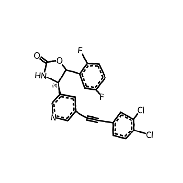 O=C1N[C@H](c2cncc(C#Cc3ccc(Cl)c(Cl)c3)c2)C(c2cc(F)ccc2F)O1